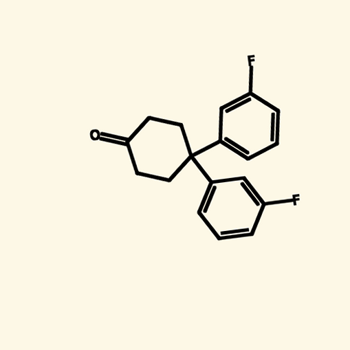 O=C1CCC(c2cccc(F)c2)(c2cccc(F)c2)CC1